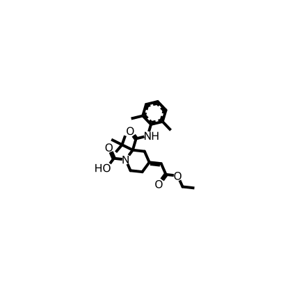 CCOC(=O)C=C1CCN(C(=O)O)C(C(=O)Nc2c(C)cccc2C)(C(C)(C)C)C1